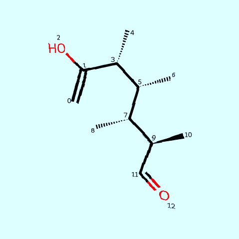 C=C(O)[C@H](C)[C@H](C)[C@@H](C)[C@@H](C)C=O